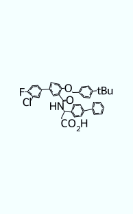 CC(C)(C)c1ccc(COc2ccc(-c3ccc(F)c(Cl)c3)cc2C(=O)NC(CC(=O)O)c2ccc(-c3ccccc3)cc2)cc1